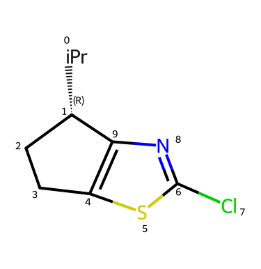 CC(C)[C@H]1CCc2sc(Cl)nc21